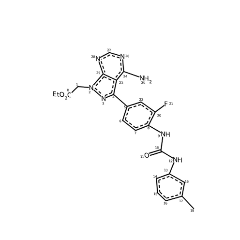 CCOC(=O)Cn1nc(-c2ccc(NC(=O)Nc3cccc(C)c3)c(F)c2)c2c(N)ncnc21